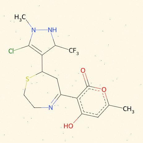 Cc1cc(O)c(C2=NCCSC(C3=C(Cl)N(C)NC3C(F)(F)F)C2)c(=O)o1